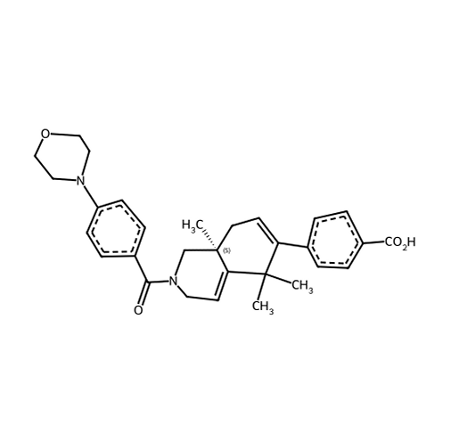 CC1(C)C(c2ccc(C(=O)O)cc2)=CC[C@]2(C)CN(C(=O)c3ccc(N4CCOCC4)cc3)CC=C12